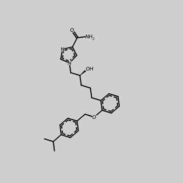 CC(C)c1ccc(COc2ccccc2CCC[C@H](O)Cn2cnc(C(N)=O)c2)cc1